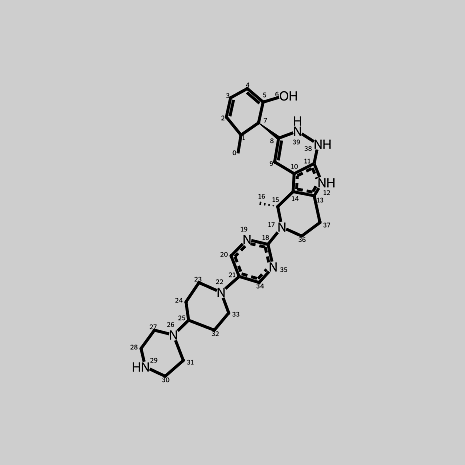 CC1C=CC=C(O)[C@H]1C1=Cc2c([nH]c3c2[C@@H](C)N(c2ncc(N4CCC(N5CCNCC5)CC4)cn2)CC3)NN1